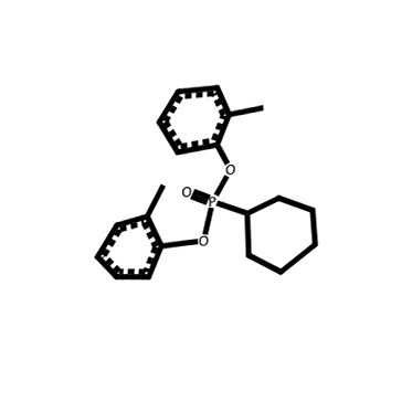 Cc1ccccc1OP(=O)(Oc1ccccc1C)C1CCCCC1